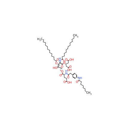 CCCCCCCCCCCCCC(=O)N[C@H]1[C@@H](OC(CC(=O)O)CC(=O)O)O[C@H](COC(=O)C(CCC(=O)O)NC(=O)Cc2ccc(NC(=O)CCCCCCC)cc2)[C@@H](O)[C@@H]1OC(=O)CCCCCCCCCCCCC